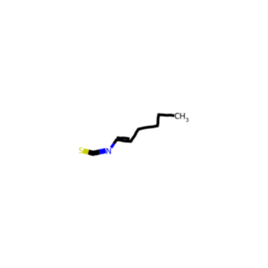 CCCC/C=C/N=C=S